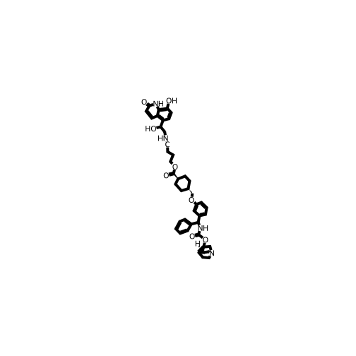 O=C(NC(c1ccccc1)c1cccc(OC[C@H]2CC[C@H](C(=O)OCCCCNCC(O)c3ccc(O)c4[nH]c(=O)ccc34)CC2)c1)O[C@H]1CN2CCC1CC2